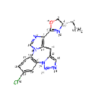 CC[C@H]1COC(c2ncn3c2Cc2cnnn2-c2cc(Cl)ccc2-3)=N1